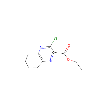 CCOC(=O)c1nc2c(nc1Cl)CCCC2